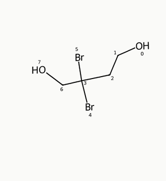 OCCC(Br)(Br)CO